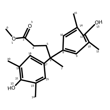 COC(=O)CCC(C)(c1cc(C)c(O)c(C)c1)c1cc(C)c(O)c(C)c1